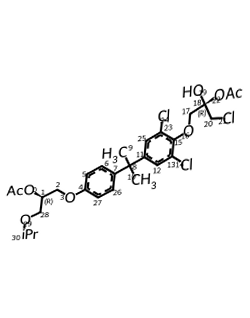 CC(=O)O[C@@H](COc1ccc(C(C)(C)c2cc(Cl)c(OC[C@](O)(CCl)OC(C)=O)c(Cl)c2)cc1)COC(C)C